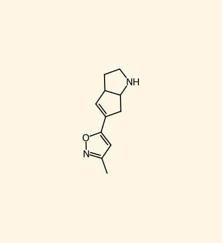 Cc1cc(C2=CC3CCNC3C2)on1